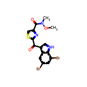 CON(C)C(=O)c1csc(C(=O)c2c[nH]c3c(Br)cc(Br)cc23)n1